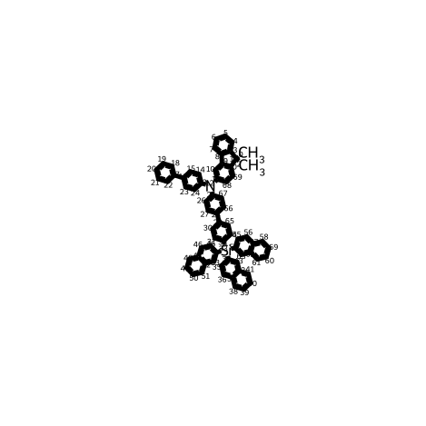 CC1(C)c2ccccc2-c2cc(N(c3ccc(-c4ccccc4)cc3)c3ccc(-c4ccc([Si](c5ccc6ccccc6c5)(c5ccc6ccccc6c5)c5ccc6ccccc6c5)cc4)cc3)ccc21